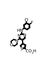 O=C(O)c1cc(-c2cnc(Nc3ccc(F)c(Cl)c3)nc2N2CCOCC2)cs1